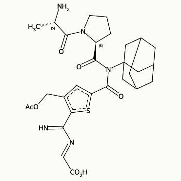 CC(=O)OCc1cc(C(=O)N(C(=O)[C@@H]2CCCN2C(=O)[C@H](C)N)C23CC4CC(CC(C4)C2)C3)sc1C(=N)N=CC(=O)O